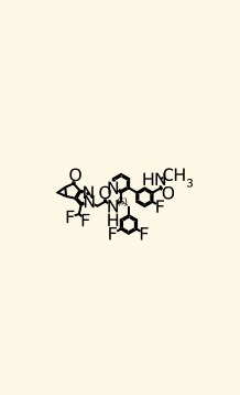 CNC(=O)c1cc(-c2cccnc2[C@H](Cc2cc(F)cc(F)c2)NC(=O)Cn2nc3c(c2C(F)F)C2CC2C3=O)ccc1F